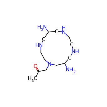 CC(=O)CN1CCNCC(N)CNCCNCC(N)C1